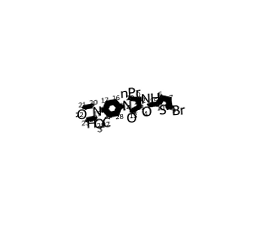 CCCC1(NC(=O)c2ccc(Br)s2)CC(=O)N(c2ccc(N3CCOCC3=O)c(C)c2)C1